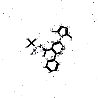 C/C(=N\[S+]([O-])C(C)(C)C)c1cc(-n2c(C)ccc2C)nnc1-c1ccccc1